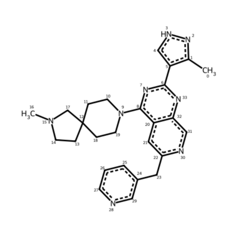 Cc1n[nH]cc1-c1nc(N2CCC3(CCN(C)C3)CC2)c2cc(Cc3cccnc3)ncc2n1